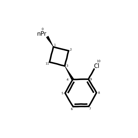 CCC[C@H]1C[C@@H](c2ccccc2Cl)C1